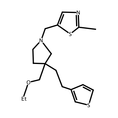 CCOCC1(CCc2ccsc2)CCN(Cc2cnc(C)s2)C1